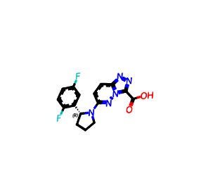 O=C(O)c1nnc2ccc(N3CCC[C@@H]3c3cc(F)ccc3F)nn12